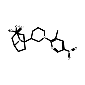 Cc1cc([N+](=O)[O-])cnc1N1CCCC(C23CCC(CC(O)C2)N3C(=O)O)C1